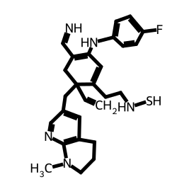 C=CC1(Cc2cnc3c(c2)CCCN3C)CC(C=N)=C(Nc2ccc(F)cc2)C=C1CCNS